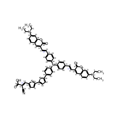 CCN(CC)c1ccc2cc(/C=C/c3ccc(N(c4ccc(/C=C/c5cc6ccc(N(CC)CC)cc6oc5=O)cc4)c4ccc(-c5ccc(-c6ccc(/C=C(\C#N)C(=O)O)s6)s5)cc4)cc3)c(=O)oc2c1